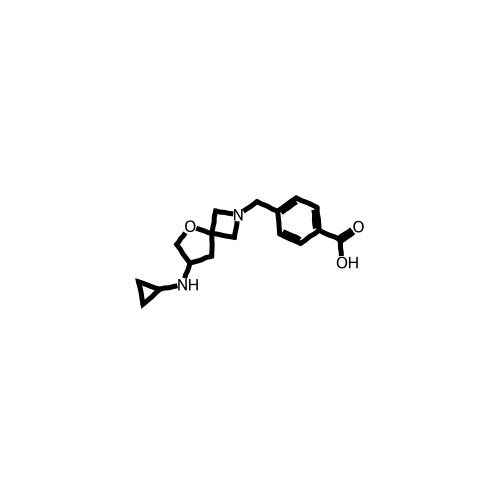 O=C(O)c1ccc(CN2CC3(CC(NC4CC4)CO3)C2)cc1